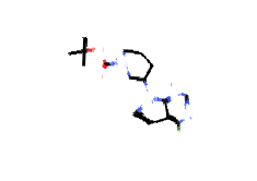 CC(C)(C)OC(=O)N1CCCC(n2ccc3c(Cl)ncnc32)C1